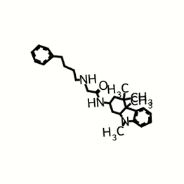 CN1c2ccccc2C2(C)C1CC(NC(=O)CNCCCCc1ccccc1)CC2(C)C